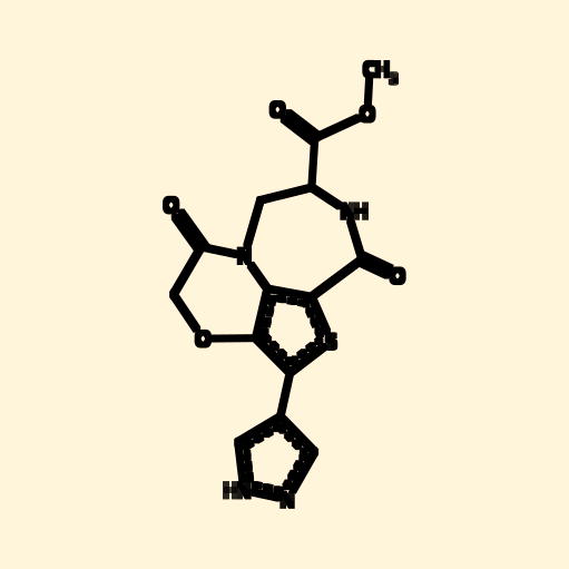 COC(=O)C1CN2C(=O)COc3c(-c4cn[nH]c4)sc(c32)C(=O)N1